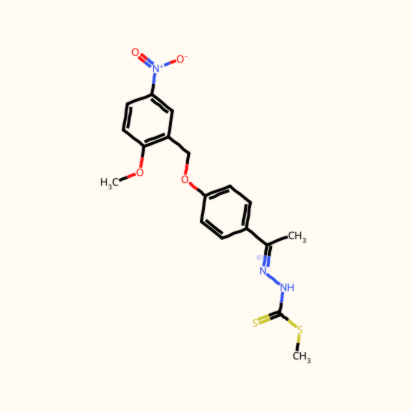 COc1ccc([N+](=O)[O-])cc1COc1ccc(/C(C)=N/NC(=S)SC)cc1